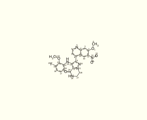 COc1cc2nccc(-c3nn4c(c3Nc3cccc(F)c3OC)C(=O)NCC4)c2cc1[N+](=O)[O-]